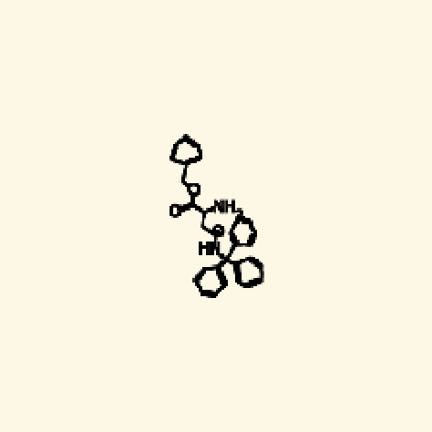 N[C@@H](CC(=O)NC(c1ccccc1)(c1ccccc1)c1ccccc1)C(=O)OCc1ccccc1